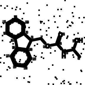 CC(O)NC(=O)OCC1c2ccccc2-c2ccccc21